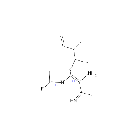 C=CC(C)C(C)CC(/N=C(\C)F)=C(\N)C(C)=N